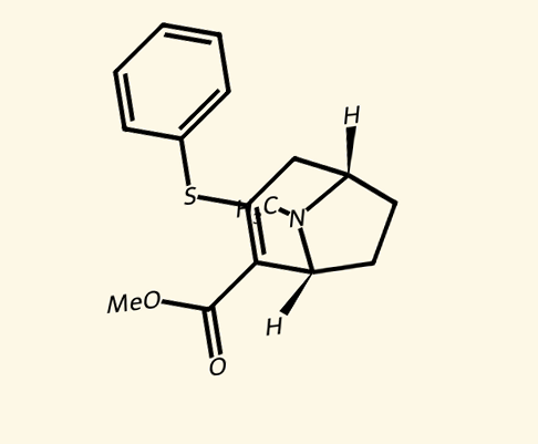 COC(=O)C1=C(Sc2ccccc2)C[C@@H]2CC[C@H]1N2C